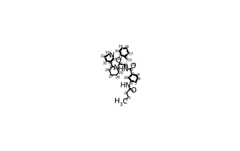 CCCC(=O)Nc1cccc(C(=O)N[C@@H](Cc2ccccc2)C(=O)N2CCCCC2c2cccnc2)c1